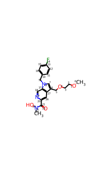 COCCOCc1cn(Cc2ccc(F)cc2)c2cnc(C(=O)N(C)O)cc12